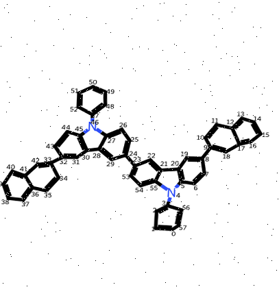 c1ccc(-n2c3ccc(-c4ccc5ccccc5c4)cc3c3cc(-c4ccc5c(c4)c4cc(-c6ccc7ccccc7c6)ccc4n5-c4ccccc4)ccc32)cc1